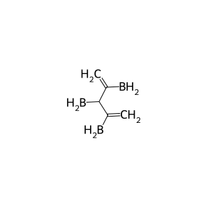 BC(=C)C(B)C(B)=C